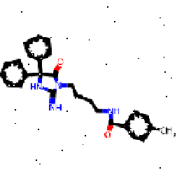 Cc1ccc(C(=O)NCCCCN2C(=N)NC(c3ccccc3)(c3ccccc3)C2=O)cc1